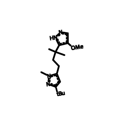 COc1cn[nH]c1C(C)(C)CCc1cc(C(C)(C)C)nn1C